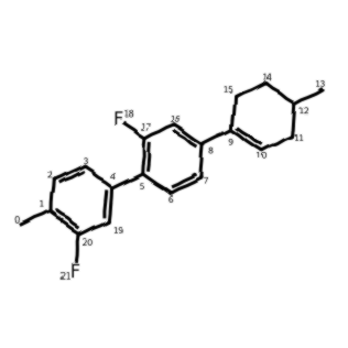 Cc1ccc(-c2ccc(C3=CCC(C)CC3)cc2F)cc1F